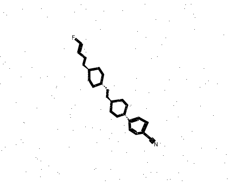 N#Cc1ccc([C@H]2CC[C@H](CC[C@H]3CC[C@H](CCC=CF)CC3)CC2)cc1